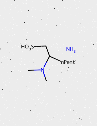 CCCCCC(CS(=O)(=O)O)N(C)C.N